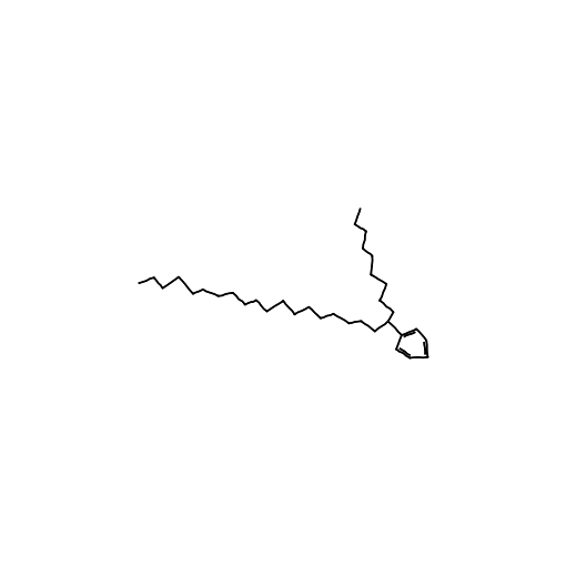 CCCCCCCCCCCCCCCCCCCC(CCCCCCCCC)c1ccccc1